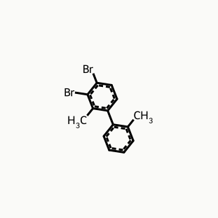 Cc1ccccc1-c1ccc(Br)c(Br)c1C